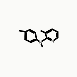 Cc1ccc(N(C)c2ncccc2C)cc1